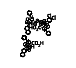 CC(C)(C)OC(=O)[C@H]1CN(c2ccccc2)C(=O)[C@H]1NC(=O)c1ccc2ccccc2c1.O=C(O)[C@H]1CN(c2ccccc2)C(=O)[C@H]1NS(=O)(=O)c1ccc(Cl)c(Cl)c1.O=C(O)[C@H]1CN(c2ccccc2)C(=O)[C@H]1NS(=O)(=O)c1ccc2ccccc2c1